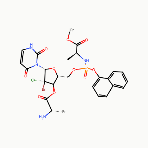 CC(C)OC(=O)[C@H](C)N[P@](=O)(OC[C@H]1O[C@@H](n2c(=O)cc[nH]c2=O)[C@](Cl)(Br)[C@@H]1OC(=O)[C@@H](N)C(C)C)Oc1cccc2ccccc12